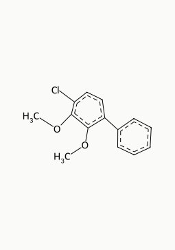 COc1c(Cl)ccc(-c2ccccc2)c1OC